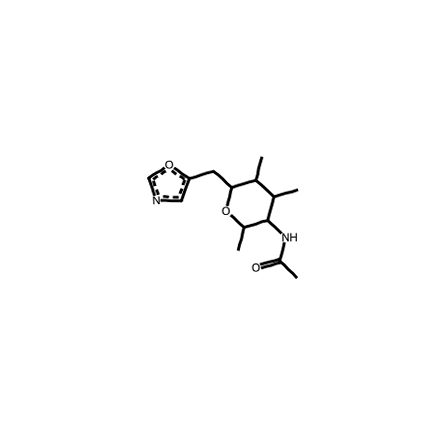 CC(=O)NC1C(C)OC(Cc2cnco2)C(C)C1C